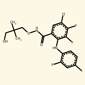 CC(C)(CO)CONC(=O)c1cc(Cl)c(F)c(F)c1Nc1ccc(I)cc1F